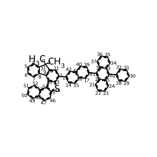 CC1(C)c2ccccc2-c2c1cc(-c1ccc3cc(-c4c5ccccc5c(-c5ccccc5)c5ccccc45)ccc3c1)c1sc3ccc4ccccc4c3c21